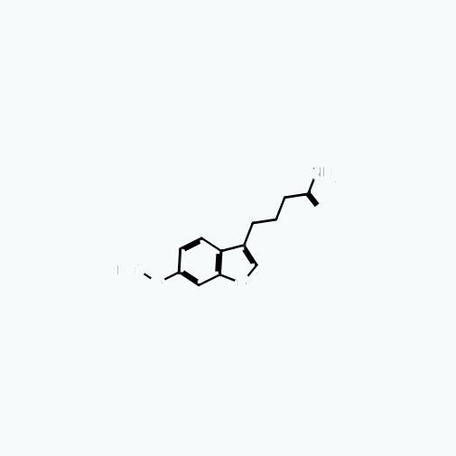 COc1ccc2c(CCCC(N)=O)coc2c1